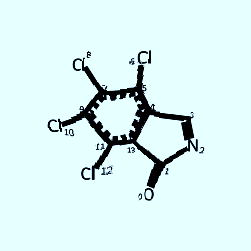 O=C1N=Cc2c(Cl)c(Cl)c(Cl)c(Cl)c21